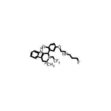 CCc1ccc(OCCNCCCF)cc1C1c2[nH]c3ccccc3c2C[C@@H](C)N1CC(F)(F)F